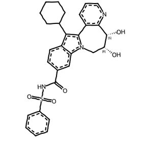 O=C(NS(=O)(=O)c1ccccc1)c1ccc2c(C3CCCCC3)c3n(c2c1)C[C@@H](O)[C@@H](O)c1ncccc1-3